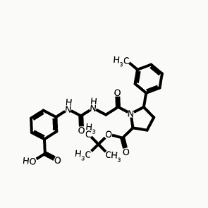 Cc1cccc(C2CCC(C(=O)OC(C)(C)C)N2C(=O)CNC(=O)Nc2cccc(C(=O)O)c2)c1